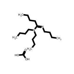 CCCCN=C(CCCC)N(CCCC)CCCC.O=C(O)O